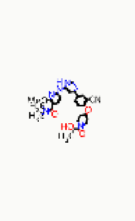 COc1nc(Nc2cc(-c3ccc(OC4CCN(C(=O)[C@H](C)O)CC4)c(C#N)c3)ncn2)ccc1C(=O)N(C)C